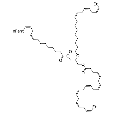 CC/C=C\C/C=C\C/C=C\C/C=C\C/C=C\C/C=C\CCC(=O)OC[C@@H](COC(=O)CCCCCCC/C=C\C/C=C\CCCCC)OC(=O)CCCCCCC/C=C\C/C=C\C/C=C\CC